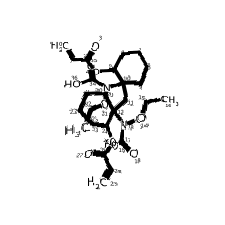 C=CC(=O)OC1CCCCC1(CC1(N(OCC)C(=O)O)CCCCC1OC(=O)C=C)N(OCC)C(=O)O